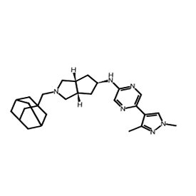 Cc1nn(C)cc1-c1cnc(N[C@H]2C[C@@H]3CN(CC45CC6CC(CC(C6)C4)C5)C[C@@H]3C2)cn1